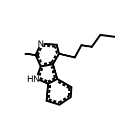 CCCCCc1cnc(C)c2[nH]c3ccccc3c12